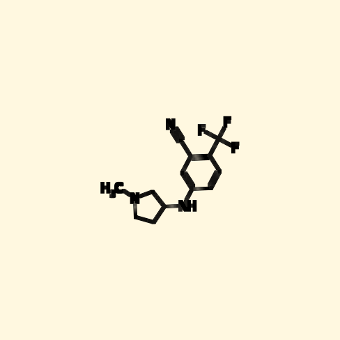 CN1CCC(Nc2ccc(C(F)(F)F)c(C#N)c2)C1